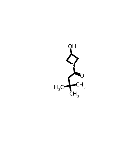 CC(C)(C)CC(=O)N1CC(O)C1